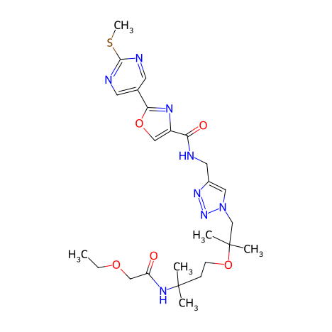 CCOCC(=O)NC(C)(C)CCOC(C)(C)Cn1cc(CNC(=O)c2coc(-c3cnc(SC)nc3)n2)nn1